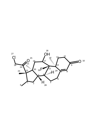 CC1C[C@H]2[C@@H]3CCC4=CC(=O)CC[C@]4(C)[C@@]3(F)C(O)C[C@]2(C)[C@@]1(C)C(=O)CCl